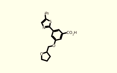 CC(C)c1cnc(-c2cc(OCC3CCCO3)cc(C(=O)O)c2)s1